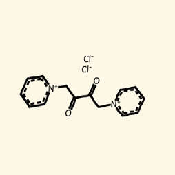 O=C(C[n+]1ccccc1)C(=O)C[n+]1ccccc1.[Cl-].[Cl-]